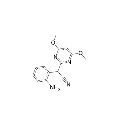 COc1cc(OC)nc(C(C#N)c2ccccc2N)n1